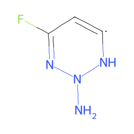 NN1N=C(F)C=[C]N1